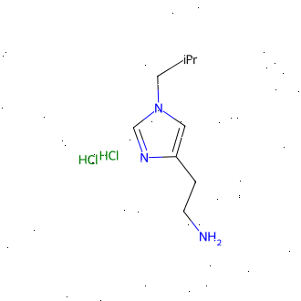 CC(C)Cn1cnc(CCN)c1.Cl.Cl